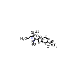 C=C/C=C(\C(=N\O)c1nc2cc(S(=O)(=O)C(F)(F)F)ccc2o1)S(=O)(=O)CC